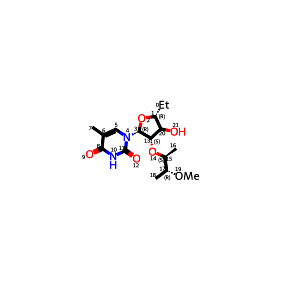 CC[C@H]1O[C@@H](n2cc(C)c(=O)[nH]c2=O)[C@@H](O[C@@H](C)[C@@H](C)OC)C1O